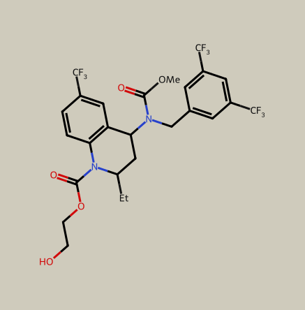 CCC1CC(N(Cc2cc(C(F)(F)F)cc(C(F)(F)F)c2)C(=O)OC)c2cc(C(F)(F)F)ccc2N1C(=O)OCCO